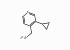 CNCc1ccncc1C1CC1